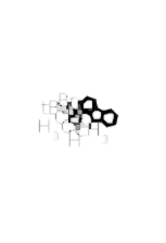 C[SiH](C)[Zr]([Cl])([Cl])([NH]C(C)(C)C)[c]1c(Br)ccc2c1Cc1ccccc1-2